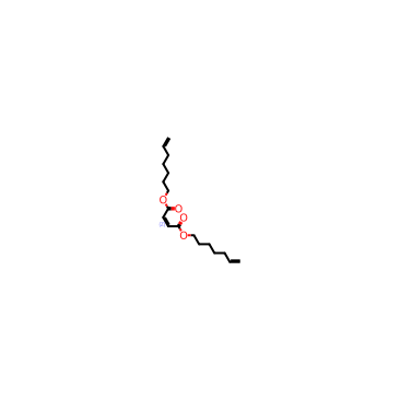 C=CCCCCCOC(=O)/C=C\C(=O)OCCCCCC=C